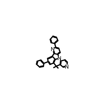 CC1(C)c2cnccc2-n2c3ccc(-c4ccccc4)nc3c3cc(-c4ccccc4)cc1c32